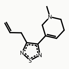 C=CCc1nsnc1C1=CCCN(C)C1